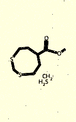 COC(=O)C1C[CH]SCSCC1.S.[CH2]